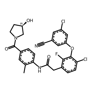 Cc1cc(C(=O)N2CC[C@@H](O)C2)ccc1NC(=O)Cc1ccc(Cl)c(Oc2cc(Cl)cc(C#N)c2)c1F